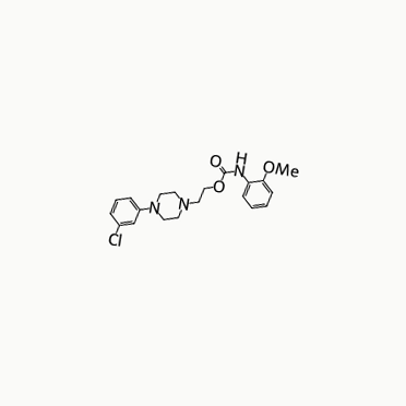 COc1ccccc1NC(=O)OCCN1CCN(c2cccc(Cl)c2)CC1